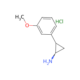 COc1cccc(C2C[C@H]2N)c1.Cl